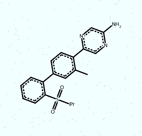 Cc1cc(-c2ccccc2S(=O)(=O)C(C)C)ccc1-c1cnc(N)cn1